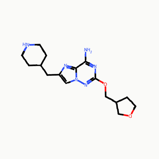 Nc1nc(OCC2CCOC2)nn2cc(CC3CCNCC3)nc12